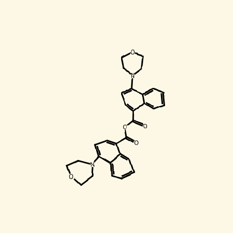 O=C(OC(=O)c1ccc(N2CCOCC2)c2ccccc12)c1ccc(N2CCOCC2)c2ccccc12